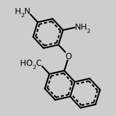 Nc1ccc(Oc2c(C(=O)O)ccc3ccccc23)c(N)c1